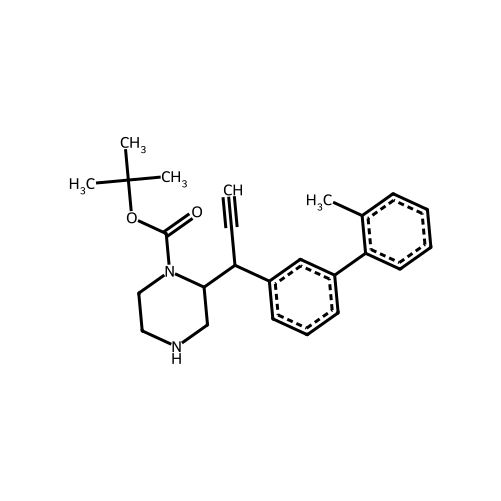 C#CC(c1cccc(-c2ccccc2C)c1)C1CNCCN1C(=O)OC(C)(C)C